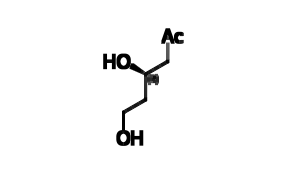 CC(=O)C[C@H](O)CCO